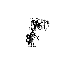 C=C1CCc2ccc(N3CC(CCNCc4c(F)ccc5c4N(C)C(=C)C5(C)C)CC3=C)nc2N1